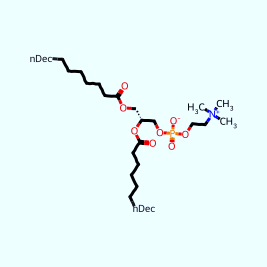 CCCCCCCCCCCCCCCCC(=O)OC[C@H](COP(=O)([O-])OCC[N+](C)(C)C)OC(=O)CCCCCCCCCCCCCCC